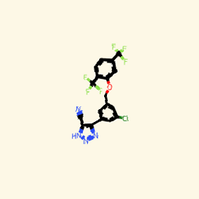 N#Cc1[nH]nnc1-c1cc(Cl)cc(COc2cc(C(F)(F)F)ccc2C(F)(F)F)c1